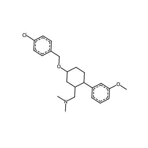 COc1cccc(C2CCC(OCc3ccc(Cl)cc3)CC2CN(C)C)c1